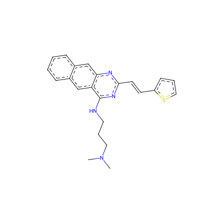 CN(C)CCCNc1nc(C=Cc2cccs2)nc2cc3ccccc3cc12